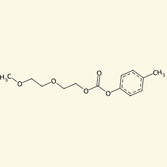 COCCOCCOC(=O)Oc1ccc(C)cc1